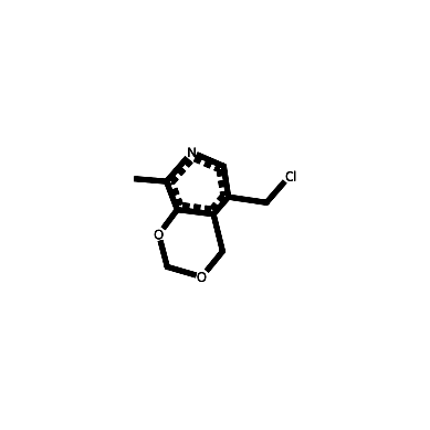 Cc1ncc(CCl)c2c1OCOC2